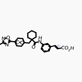 Cc1noc(C23CCC(CC4(C(=O)Nc5cccc(/C=C/C(=O)O)c5)CCCCC4)(CC2)CC3)n1